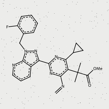 C=Nc1nc(-c2nn(Cc3ccccc3F)c3ncccc23)nc(C2CC2)c1C(C)(C)C(=O)OC